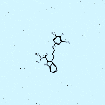 Cc1cc(OCCCc2c(C(=O)N(C)C)[nH]c3ccccc23)cc(C)c1Cl